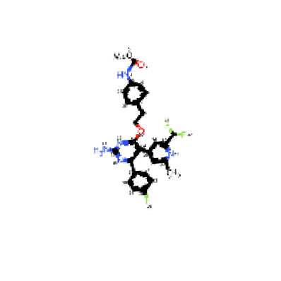 COC(=O)Nc1ccc(CCOc2nc(N)nc(-c3ccc(F)cc3)c2-c2cc(C)nc(C(F)F)c2)cc1